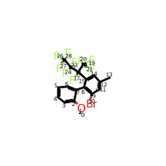 COc1ccccc1-c1c(Br)[c]c(C)cc1C(F)(C(F)(F)F)C(F)(F)C(F)(F)F